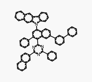 c1ccc(-c2cccc(-c3ccc4c(-n5c6ccccc6c6cc7ccccc7cc65)cc(-c5ccccc5)c(-c5nc(-c6ccccc6)nc(-c6ccc7ccccc7c6)n5)c4c3)c2)cc1